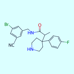 CC(C(=O)NCc1cc(Br)cc(C#N)c1)C1(c2ccc(F)cc2)CCNCC1